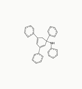 C1=C(c2ccccc2)C=C(c2ccccc2)CC1(Nc1ccccc1)c1ccccc1